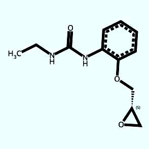 CCNC(=O)Nc1ccccc1OC[C@@H]1CO1